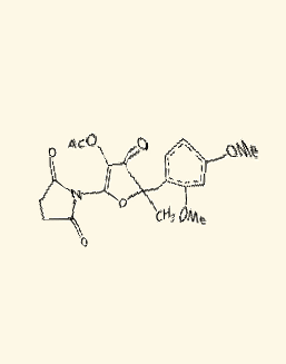 COc1ccc(C2(C)OC(N3C(=O)CCC3=O)=C(OC(C)=O)C2=O)c(OC)c1